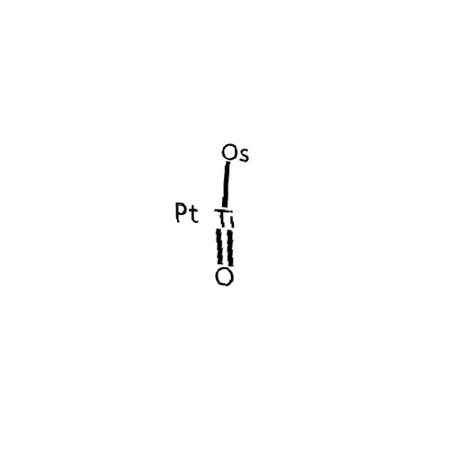 [O]=[Ti][Os].[Pt]